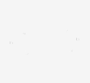 BrC(Br)(Br)C1[CH]CC(C(Br)(Br)Br)[CH]C1